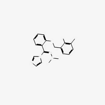 Cc1cccc(COc2ccccc2C(=NN(C)C)n2ccnc2)c1F